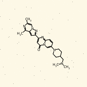 Cc1cn2nc(-c3cc(=O)n4cc(N5CCC(CN(C)C)CC5)ccc4n3)cc2c(C)n1